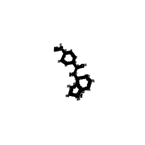 COc1ccc(C(=O)Nc2nccc3[nH]cnc23)cc1